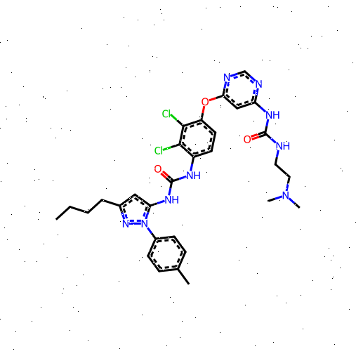 CCCCc1cc(NC(=O)Nc2ccc(Oc3cc(NC(=O)NCCN(C)C)ncn3)c(Cl)c2Cl)n(-c2ccc(C)cc2)n1